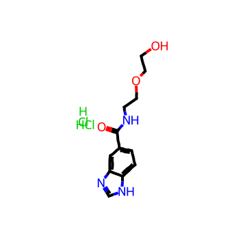 Cl.Cl.O=C(NCCOCCO)c1ccc2[nH]cnc2c1